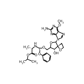 COc1nc(N)nc2c1ncn2C1OC(COP(N[C@@H](C)C(=O)OC(C)C)Oc2ccccc2)[C@@H](O)[C@]12CCO2